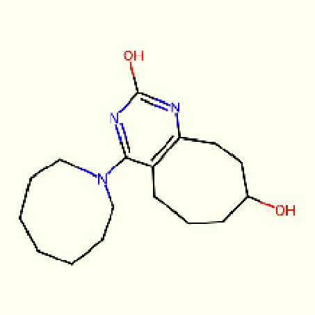 Oc1nc2c(c(N3CCCCCCC3)n1)CCCC(O)CC2